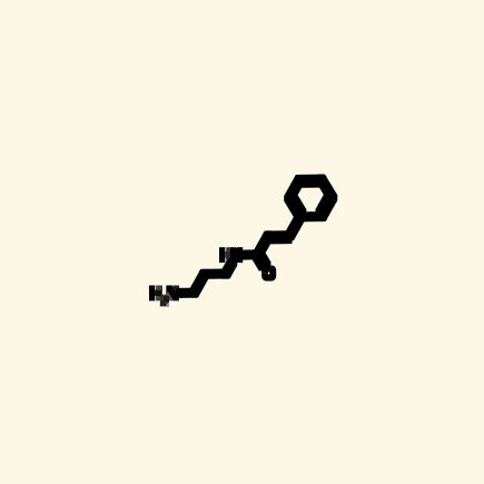 NCCCNC(=O)C=Cc1ccccc1